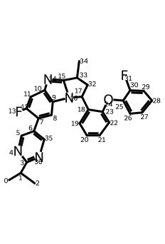 CC(C)c1ncc(-c2cc3c(cc2F)nc2n3C(c3ccccc3Oc3ccccc3F)CC2C)cn1